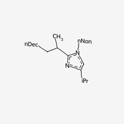 CCCCCCCCCCCC(C)c1nc(C(C)C)cn1CCCCCCCCC